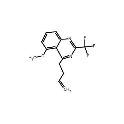 C=CCCc1nc(C(F)(F)F)nc2cccc(OC)c12